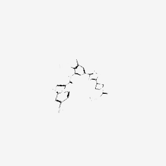 COC(=O)N1CC(c2nc(-c3cc(F)c(C)c(NC(=O)c4cnc5cc(C(C)C)ccn45)c3)no2)C1